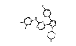 Cc1ccc(Nc2nccc(-c3c(-c4ccc(F)cc4)ncn3C3CCNCC3)n2)cc1C